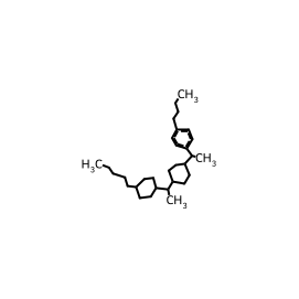 CCCCCC1CCC(C(C)C2CCC(C(C)c3ccc(CCCC)cc3)CC2)CC1